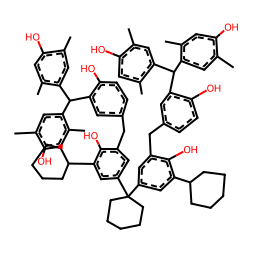 Cc1cc(C(c2cc(C)c(O)cc2C)c2cc(Cc3cc(C4(c5cc(Cc6ccc(O)c(C(c7cc(C)c(O)cc7C)c7cc(C)c(O)cc7C)c6)c(O)c(C6CCCCC6)c5)CCCCC4)cc(C4CCCCC4)c3O)ccc2O)c(C)cc1O